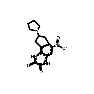 O=c1[nH]c2cc([N+](=O)[O-])c3c(c2[nH]c1=O)CC(N1CCCC1)C3